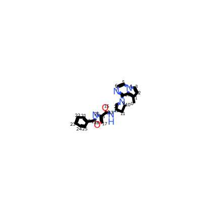 Cc1ccn2ccnc(N3CC[C@H](NC(=O)c4coc(-c5ccccc5)n4)C3)c12